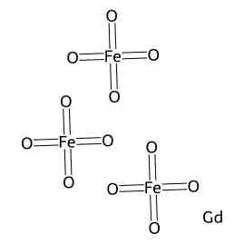 [Gd].[O]=[Fe](=[O])(=[O])=[O].[O]=[Fe](=[O])(=[O])=[O].[O]=[Fe](=[O])(=[O])=[O]